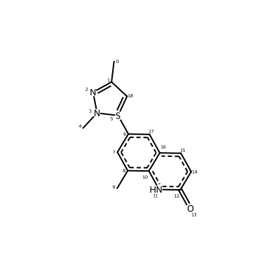 CC1=NN(C)S(c2cc(C)c3[nH]c(=O)ccc3c2)=C1